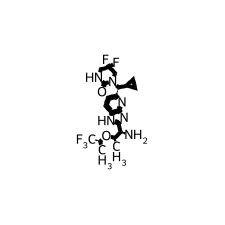 C[C@@H](O[C@H](C)C(F)(F)F)[C@H](N)c1nc2nc([C@@H](C3CC3)N3CC(F)(F)CNC3=O)ccc2[nH]1